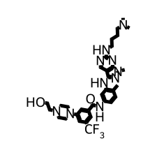 Cc1ccc(NC(=O)c2cc(N3CCN(CCO)CC3)cc(C(F)(F)F)c2)cc1Nc1nn(C)c2nc(NCCCCN(C)C)ncc12